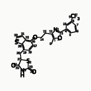 Cc1oc(-c2cccc(C(F)(F)F)c2)nc1CCOc1ccc(CC2SC(=O)NC2=O)c2sccc12